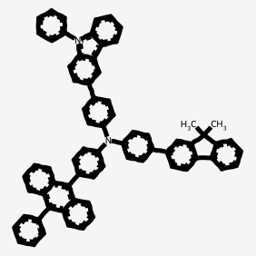 CC1(C)c2ccccc2-c2ccc(-c3ccc(N(c4ccc(-c5ccc6c(c5)c5ccccc5n6-c5ccccc5)cc4)c4ccc(-c5c6ccccc6c(-c6ccccc6)c6ccccc56)cc4)cc3)cc21